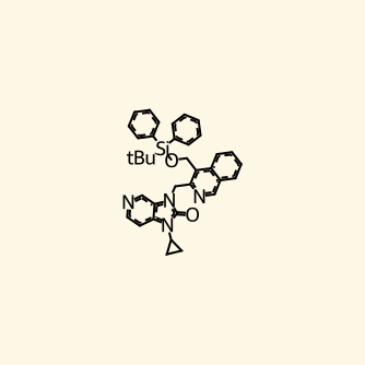 CC(C)(C)[Si](OCc1c(Cn2c(=O)n(C3CC3)c3ccncc32)ncc2ccccc12)(c1ccccc1)c1ccccc1